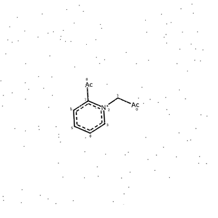 CC(=O)C[n+]1ccccc1C(C)=O